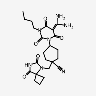 CCCCN1C(=O)C(=C(N)N)C(=O)N(C2CCC(C#N)(CN3C(=O)NC(=O)C34CCC4)CC2)C1=O